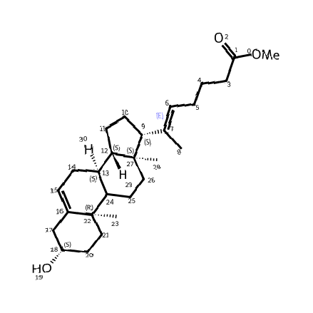 COC(=O)CCC/C=C(\C)[C@H]1CC[C@H]2[C@@H]3CC=C4C[C@@H](O)CC[C@]4(C)C3CC[C@]12C